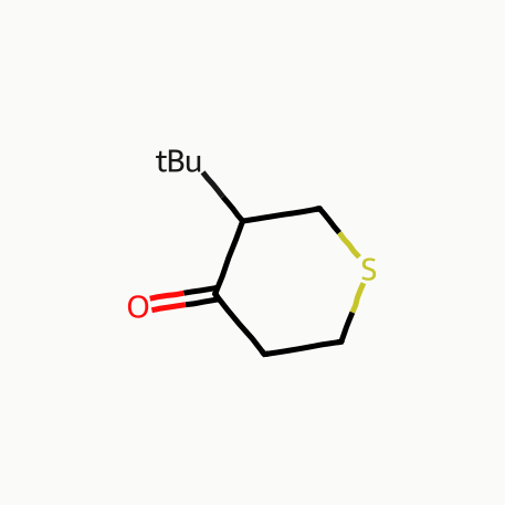 CC(C)(C)C1CSCCC1=O